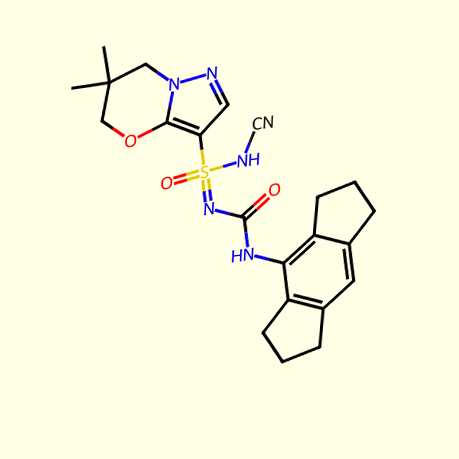 CC1(C)COc2c(S(=O)(=NC(=O)Nc3c4c(cc5c3CCC5)CCC4)NC#N)cnn2C1